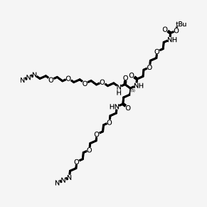 CC(C)(C)OC(=O)NCCOCCOCCC(=O)N[C@@H](CCC(=O)NCCOCCOCCOCCOCCN=[N+]=[N-])C(=O)NCCOCCOCCOCCOCCN=[N+]=[N-]